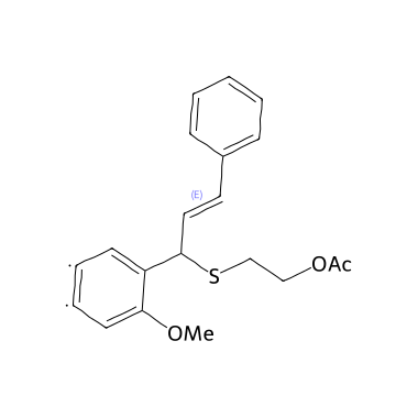 COc1c[c][c]cc1C(/C=C/c1ccccc1)SCCOC(C)=O